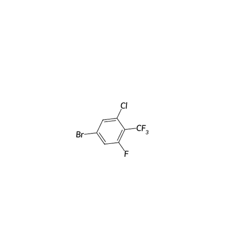 Fc1cc(Br)cc(Cl)c1C(F)(F)F